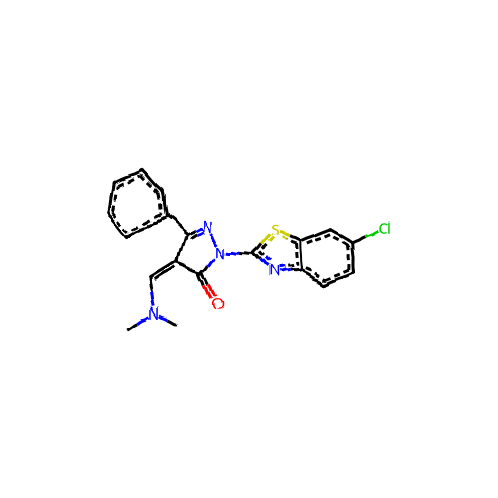 CN(C)C=C1C(=O)N(c2nc3ccc(Cl)cc3s2)N=C1c1ccccc1